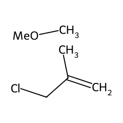 C=C(C)CCl.COC